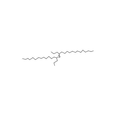 CCCCCCCCCCCCCC(CCC)SC(CCC)CCCCCCCCCCCCC